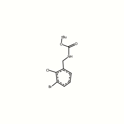 CC(C)(C)OC(=O)NCc1cccc(Br)c1Cl